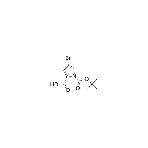 CC(C)(C)OC(=O)n1cc(Br)cc1C(=O)O